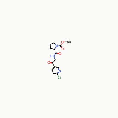 CC(C)(C)OC(=O)N1CCC[C@H]1C(=O)NCC(=O)c1ccc(Cl)nc1